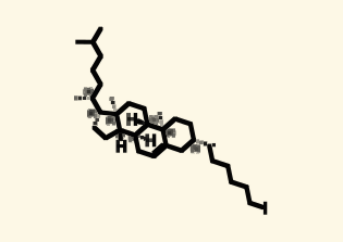 CC(C)CCC[C@@H](C)[C@H]1CC[C@H]2[C@@H]3CC=C4C[C@@H]([CH]CCCCCI)CC[C@]4(C)[C@H]3CC[C@]12C